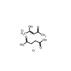 CC(=O)/C=C(/C)O.O=C(O)CCC(=O)O.[Cr].[Cr]